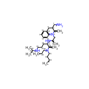 C=C(CNC(=C)C(CN)Cc1ccccc1)NC(CCCNC(C)C)C(=C)N(CCC)CCCC